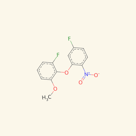 COc1cccc(F)c1Oc1cc(F)ccc1[N+](=O)[O-]